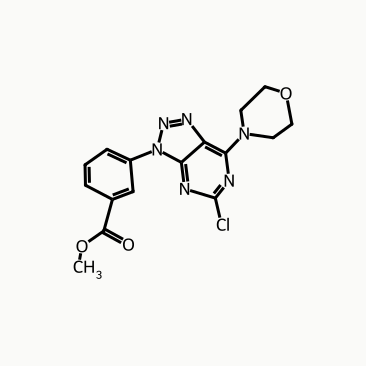 COC(=O)c1cccc(-n2nnc3c(N4CCOCC4)nc(Cl)nc32)c1